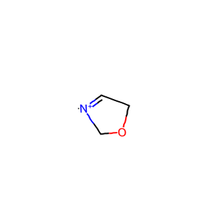 C1=[N+]COC1